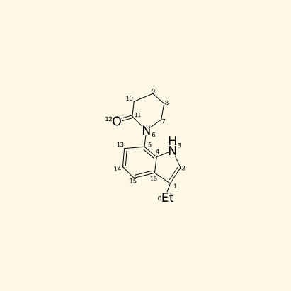 CCc1c[nH]c2c(N3CCCCC3=O)cccc12